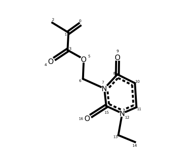 C=C(C)C(=O)OCn1c(=O)ccn(CC)c1=O